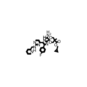 CC1(C(=O)OCC2CC2)COC(C(N)=O)(c2nc(-c3ccc(F)cc3)c(-c3ccnc(NCc4ccccn4)n3)[nH]2)OC1